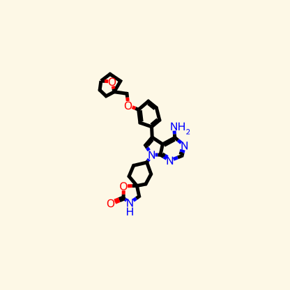 Nc1ncnc2c1c(-c1cccc(OCC34CCC(CC3)O4)c1)cn2C1CCC2(CC1)CNC(=O)O2